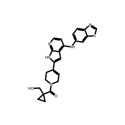 O=C(N1CC=C(c2cc3c(Nc4ccc5ncsc5c4)ccnc3[nH]2)CC1)C1(CO)CC1